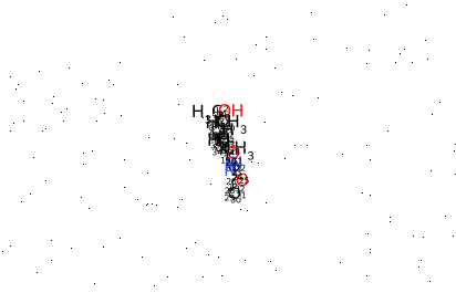 C[C@@]1(O)CC[C@@]2(C)[C@H](CC[C@@H]3[C@@H]2CC[C@]2(C)[C@@H](C(=O)Cn4ncc(C(=O)Cc5ccccc5)n4)CC[C@@H]32)C1